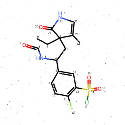 CCC1(CC(NC=O)c2ccc(F)c(S(=O)(=O)Cl)c2)C(=O)NC=C1C